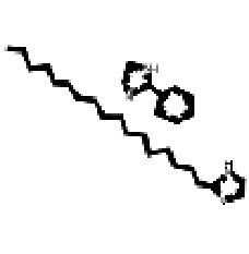 CCCCCCCCCCCCCCCCCc1ncc[nH]1.c1ccc(-c2ncc[nH]2)cc1